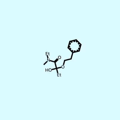 CCN(C)C(=O)C(O)(CC)OCCc1ccccc1